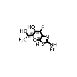 CCNC1=NC2C(F)[C@H](O)[C@@H]([C@@H](O)C(F)(F)F)O[C@@H]2S1